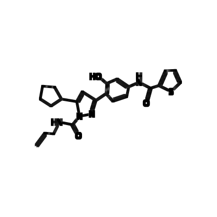 C=CCNC(=O)n1nc(-c2ccc(NC(=O)c3cccs3)cc2O)cc1C1CCCC1